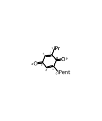 CCCC(C)C1=CC(=O)C=C(C(C)C)C1=O